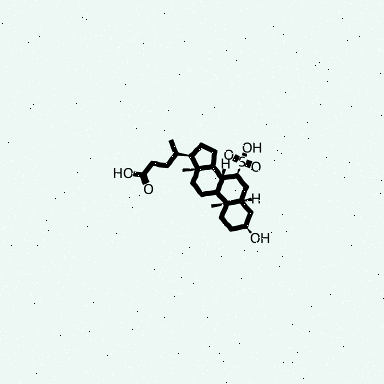 CC(CCC(=O)O)[C@H]1CCC2[C@H]3C(CC[C@@]21C)[C@@]1(C)CC[C@@H](O)C[C@H]1C[C@H]3S(=O)(=O)O